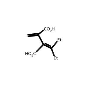 C=C(C(=O)O)C(C(=O)O)=C(CC)CC